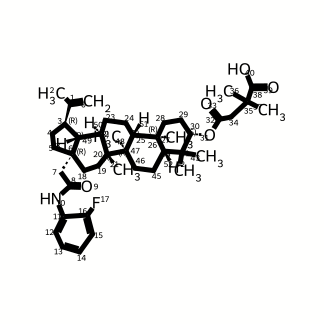 C=C(C)[C@@H]1CC[C@]2(CC(=O)Nc3ccccc3F)CC[C@]3(C)[C@H](CC[C@@H]4[C@@]5(C)CC[C@H](OC(=O)CC(C)(C)C(=O)O)C(C)(C)[C@@H]5CC[C@]43C)[C@@H]12